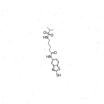 CC(C)S(=O)(=O)NCCCCC(=O)Nc1ccc2sc(S)nc2c1